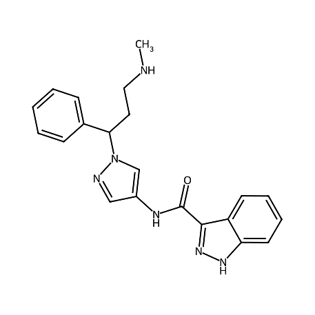 CNCCC(c1ccccc1)n1cc(NC(=O)c2n[nH]c3ccccc23)cn1